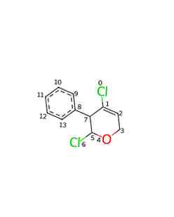 ClC1=CCOC(Cl)C1c1ccccc1